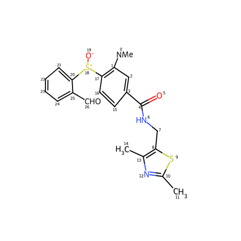 CNc1cc(C(=O)NCc2sc(C)nc2C)ccc1[S+]([O-])c1ccccc1C=O